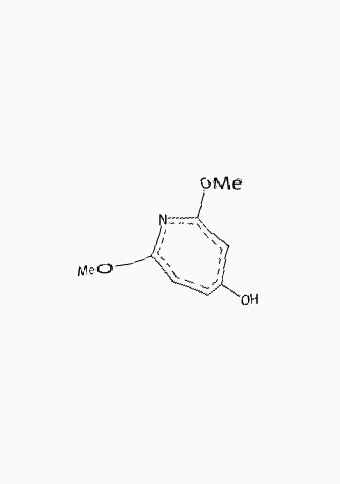 COc1cc(O)cc(OC)n1